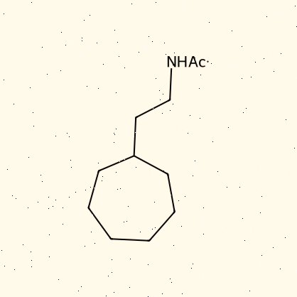 CC(=O)[N]CCC1CCCCCC1